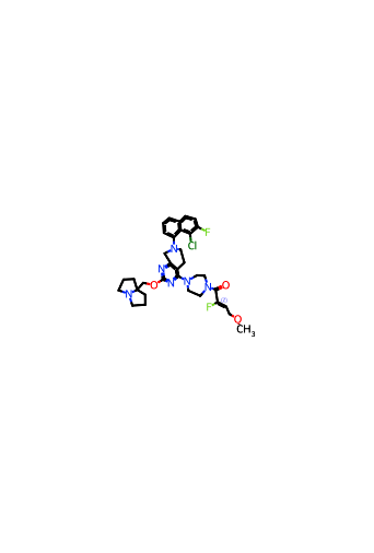 COC/C=C(\F)C(=O)N1CCN(c2nc(OCC34CCCN3CCC4)nc3c2CCN(c2cccc4ccc(F)c(Cl)c24)C3)CC1